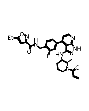 C=CC(=O)N1CCC[C@@H](Nc2n[nH]c3nccc(-c4ccc(CNC(=O)c5cc(CC)on5)c(F)c4)c23)[C@H]1C